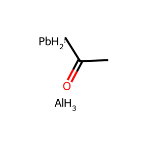 CC(C)=O.[AlH3].[PbH2]